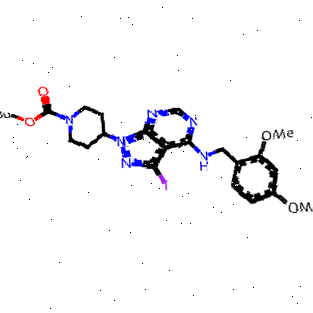 COc1ccc(CNc2ncnc3c2c(I)nn3C2CCN(C(=O)OC(C)(C)C)CC2)c(OC)c1